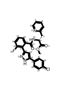 COC(=O)[C@@H](Cc1ccccn1)NC(=O)c1cccc(F)c1-c1cc(-c2ccc(Cl)cc2)[nH]n1